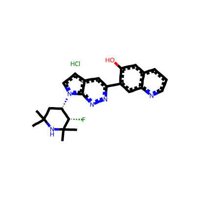 CC1(C)C[C@H](n2ccc3cc(-c4cc5ncccc5cc4O)nnc32)[C@H](F)C(C)(C)N1.Cl